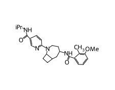 COc1cccc(C(=O)NC2CCN(c3ccc(C(=O)NC(C)C)cn3)C3CCC3C2)c1C